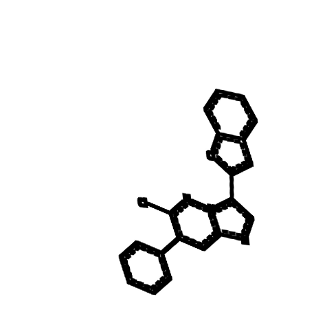 Clc1nn2c(-c3cc4ccccc4o3)cnc2cc1-c1ccccc1